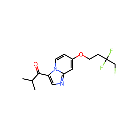 CC(C)C(=O)c1cnc2cc(OCCC(F)(F)CF)ccn12